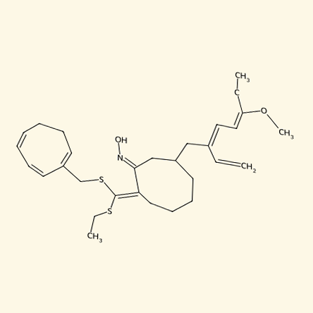 C=C/C(=C\C=C(/CC)OC)CC1CCCCC(=C(\SCC)SCC2=C/CCC=C/C=C\2)/C(=N/O)C1